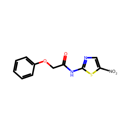 O=C(COc1ccccc1)Nc1ncc([N+](=O)[O-])s1